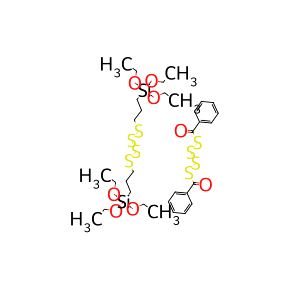 CCO[Si](CCCSSSSCCC[Si](OCC)(OCC)OCC)(OCC)OCC.O=C(SSSSC(=O)c1ccccc1)c1ccccc1